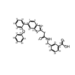 O=C(Cc1nc2ccc(-c3ccccc3Oc3ccccc3)cc2s1)NCc1cccc(C(=O)O)c1